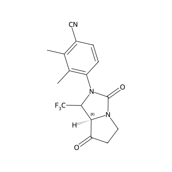 Cc1c(C#N)ccc(N2C(=O)N3CCC(=O)[C@H]3C2C(F)(F)F)c1C